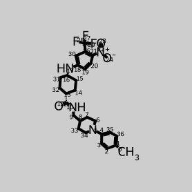 Cc1ccc(N2CCC(CNC(=O)[C@H]3CC[C@H](Nc4ccc([N+](=O)[O-])c(C(F)(F)F)c4)CC3)CC2)cc1